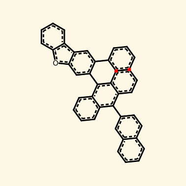 c1ccc(-c2cc3c(cc2-c2c4ccccc4c(-c4ccc5ccccc5c4)c4ccccc24)oc2ccccc23)cc1